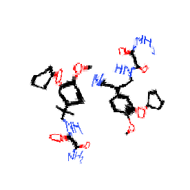 COc1ccc(C(C#N)CNC(=O)C(N)=O)cc1OC1CCCC1.COc1ccc(C(C)(C)CNC(=O)C(N)=O)cc1OC1CCCC1